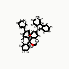 c1cncc(-c2ccc3c(c2)Oc2ccccc2C32c3ccccc3Oc3cc(-n4c5ccccc5c5cnccc54)ccc32)c1